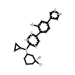 CC[C@]1(C(F)(F)F)CCC[C@H](N(c2ncc(-c3ccc(-c4cn[nH]c4)cc3O)nn2)C2CC2)C1